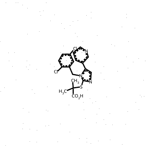 CC(C)(Sc1ncc(-c2cccnc2)n1Cc1cc(Cl)ccc1Cl)C(=O)O